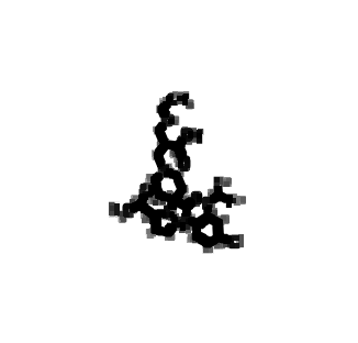 CCOCC(CN1CCC(C(=O)Nc2ccc(Cl)cc2OC(F)F)(n2nccc2C(C)C)CC1)C(=O)O